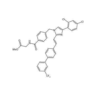 COC(=O)CNC(=O)c1ccc(Cn2cc(-c3ccc(Cl)cc3Cl)nc2C=Cc2ccc(-c3cccc(C(F)(F)F)c3)cc2)cc1